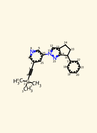 C[Si](C)(C)C#Cc1cncc(-n2cc3c(n2)C(c2ccccc2)CC3)c1